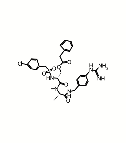 C[C@@H](C(=O)NCc1ccc(NC(=N)N)cc1)N(C)C(=O)[C@@H](COC(=O)Cc1ccccc1)NS(=O)(=O)Cc1ccc(Cl)cc1